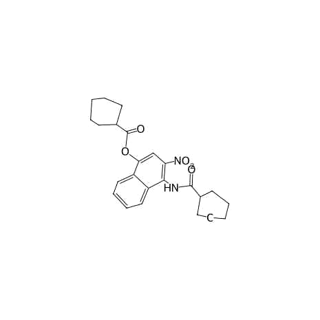 O=C(Nc1c([N+](=O)[O-])cc(OC(=O)C2CCCCC2)c2ccccc12)C1CCCCC1